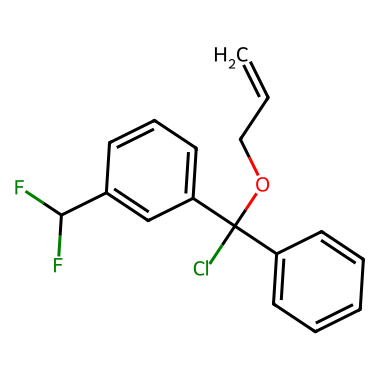 C=CCOC(Cl)(c1ccccc1)c1cccc(C(F)F)c1